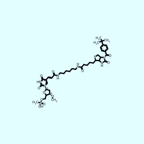 CO[C@@H]1C[C@H](n2cc(/C=C/C(=O)NCCCCCCNC(=O)CCCCC3SCC4C3NC(=O)N4C(=O)c3ccc(C(C)(C)C)cc3)c(=O)[nH]c2=O)OC1COP(C)(=O)O